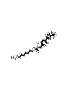 CCCCCCCCOC(=O)NCc1ccc(-c2noc(C(F)(F)F)n2)cn1